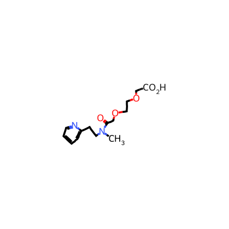 CN(CCc1ccccn1)C(=O)COCCOCC(=O)O